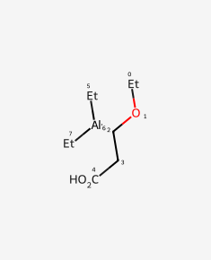 CCOCCC(=O)O.C[CH2][Al][CH2]C